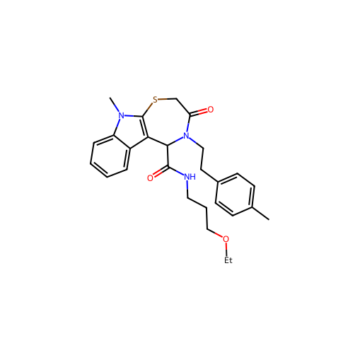 CCOCCCNC(=O)C1c2c(n(C)c3ccccc23)SCC(=O)N1CCc1ccc(C)cc1